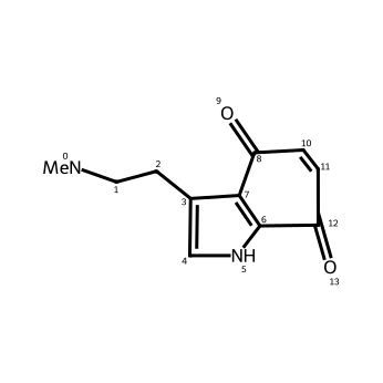 CNCCc1c[nH]c2c1C(=O)C=CC2=O